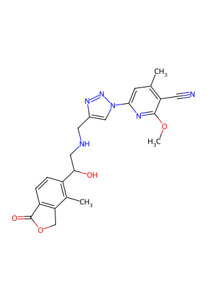 COc1nc(-n2cc(CNCC(O)c3ccc4c(c3C)COC4=O)nn2)cc(C)c1C#N